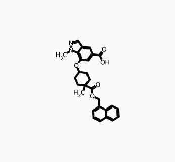 Cn1ncc2cc(C(=O)O)cc(OC3CCC(C)(C(=O)OCc4cccc5ccccc45)CC3)c21